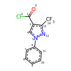 O=C(Cl)c1cn(-c2ccccc2)nc1C(F)(F)F